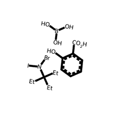 CCC(CC)(CC)N(Br)I.O=C(O)c1ccccc1O.OB(O)O